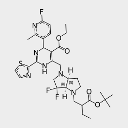 CCOC(=O)C1=C(CN2CC(F)(F)[C@H]3[C@@H]2CCN3CC(CC)C(=O)OC(C)(C)C)NC(c2nccs2)=NC1c1ccc(F)nc1C